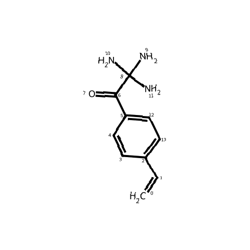 C=Cc1ccc(C(=O)C(N)(N)N)cc1